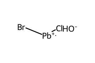 [Cl][Pb+][Br].[OH-]